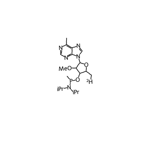 [2H]CC1OC(n2cnc3c(C)ncnc32)C(OC)C1OP(C)N(C(C)C)C(C)C